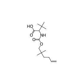 C=CCCC(C)(C)COC(=O)NC(C(=O)O)C(C)(C)C